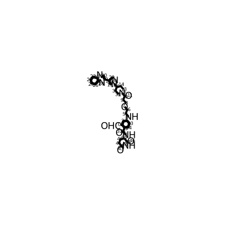 O=Cc1cc(NCCOCCC(=O)N2CCC(n3cc(-c4cnc5ccccc5n4)cn3)CC2)ccc1C(=O)NC1CCC(=O)NC1=O